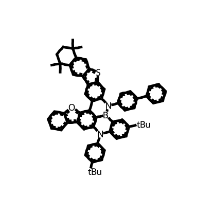 CC(C)(C)c1ccc(N2c3ccc(C(C)(C)C)cc3B3c4c2cc2c(oc5ccccc52)c4-c2cc4c(cc2N3c2ccc(-c3ccccc3)cc2)sc2cc3c(cc24)C(C)(C)CCC3(C)C)cc1